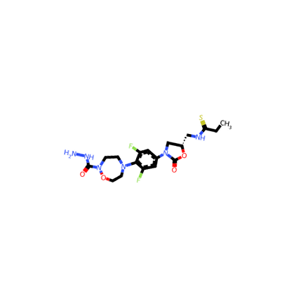 CCC(=S)NC[C@H]1CN(c2cc(F)c(N3CCON(C(=O)NN)CC3)c(F)c2)C(=O)O1